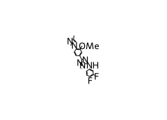 COc1cc(-c2nc(Nc3ccc(F)c(F)c3)n(C)n2)ccc1-n1cnc(C)c1